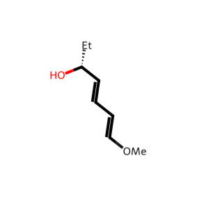 CC[C@@H](O)/C=C/C=C/OC